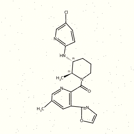 Cc1cnc(C(=O)N2CCC[C@@H](Nc3ccc(Cl)cn3)[C@@H]2C)c(-c2ncco2)c1